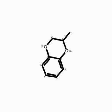 CC1COc2ccccc2O1